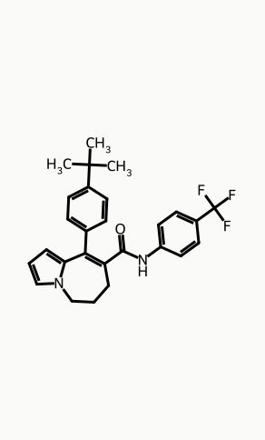 CC(C)(C)c1ccc(C2=C(C(=O)Nc3ccc(C(F)(F)F)cc3)CCCn3cccc32)cc1